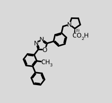 Cc1c(-c2ccccc2)cccc1-c1nnc(-c2cccc(CN3CCC[C@H]3C(=O)O)c2)o1